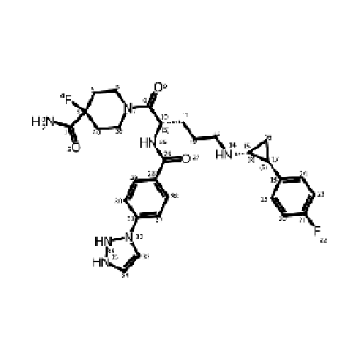 NC(=O)C1(F)CCN(C(=O)[C@H](CCCN[C@@H]2C[C@H]2c2ccc(F)cc2)NC(=O)c2ccc(N3C=CNN3)cc2)CC1